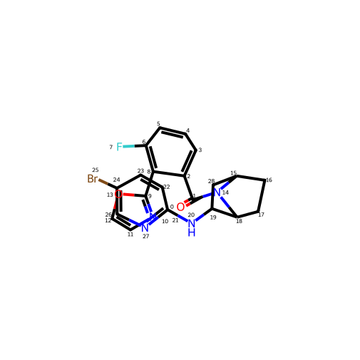 O=C(c1cccc(F)c1-c1ncco1)N1C2CCC1C(Nc1ccc(Br)cn1)C2